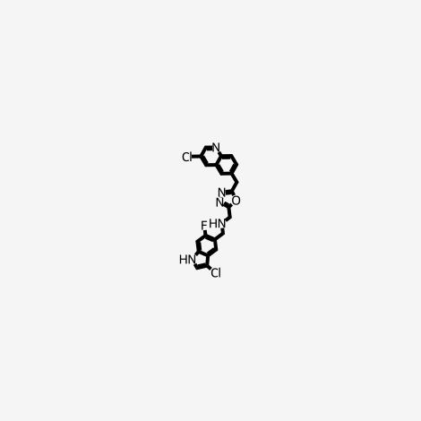 Fc1cc2[nH]cc(Cl)c2cc1CNCc1nnc(Cc2ccc3ncc(Cl)cc3c2)o1